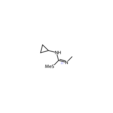 C/N=C(\NC1CC1)SC